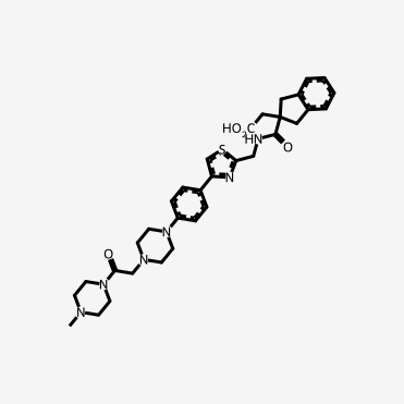 CN1CCN(C(=O)CN2CCN(c3ccc(-c4csc(CNC(=O)C5(CC(=O)O)Cc6ccccc6C5)n4)cc3)CC2)CC1